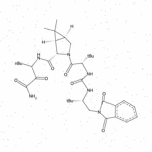 CCCCC(NC(=O)[C@@H]1[C@@H]2[C@H](CN1C(=O)[C@@H](NC(=O)N[C@H](CN1C(=O)c3ccccc3C1=O)C(C)(C)C)C(C)(C)C)C2(C)C)C(=O)C(N)=O